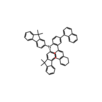 CC1(C)c2ccccc2-c2ccc(N(c3ccc4c(c3)C(C)(C)c3ccccc3-4)c3ccc(-c4cccc5ccccc45)cc3-c3ccc4c(c3)CCC=C4)cc21